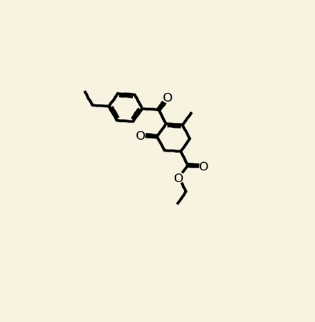 CCOC(=O)C1CC(=O)C(C(=O)c2ccc(CC)cc2)=C(C)C1